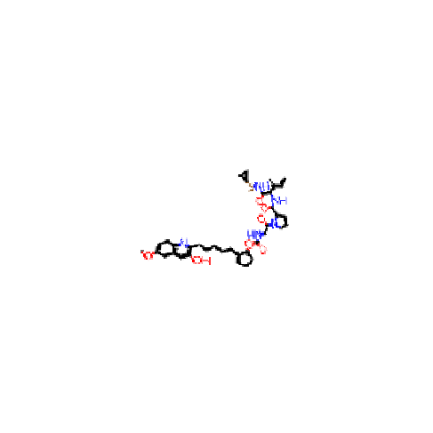 C=C[C@H](C)C(NC(=O)C1CCCN1C(=O)CNC(=O)O[C@@H]1CCCC1CCCCCc1nc2ccc(OC)cc2cc1O)C(=O)NSC1CC1